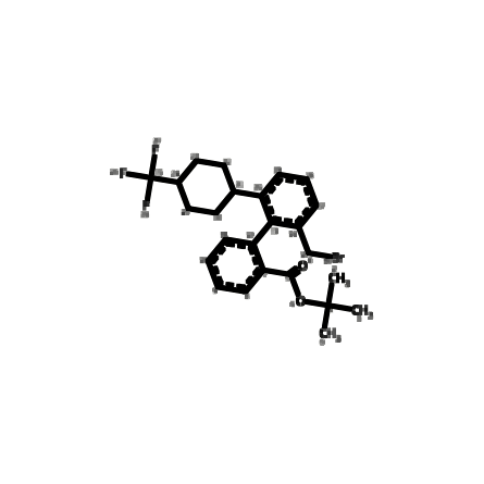 CC(C)(C)OC(=O)c1ccccc1-c1c(CBr)cccc1C1CCC(C(F)(F)F)CC1